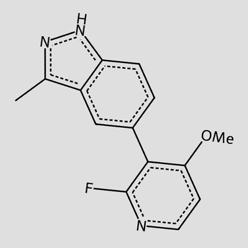 COc1ccnc(F)c1-c1ccc2[nH]nc(C)c2c1